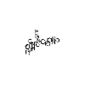 Cn1c(=O)oc2ccc(C3(O)CCC(N(C(=O)CNC(=O)c4cccc(C(F)(F)F)c4)C4CNC4)CC3)cc21